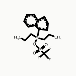 CCCS(CCC)(OS(=O)(=O)C(F)(F)F)c1cccc2ccccc12